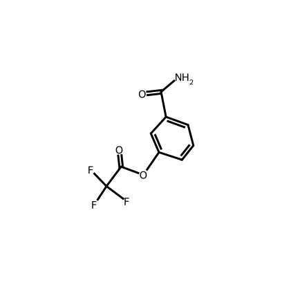 NC(=O)c1cccc(OC(=O)C(F)(F)F)c1